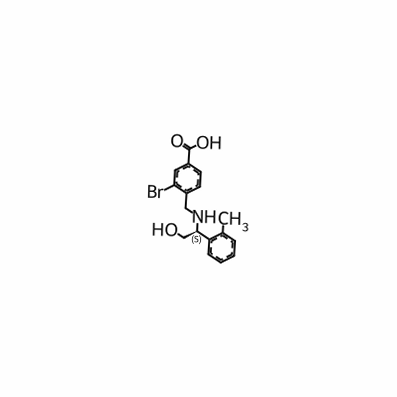 Cc1ccccc1[C@@H](CO)NCc1ccc(C(=O)O)cc1Br